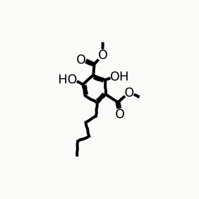 CCCCCc1cc(O)c(C(=O)OC)c(O)c1C(=O)OC